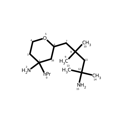 CCCC1(N)CCOC(CC(C)(C)CC(C)(C)N)C1